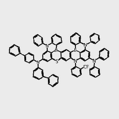 FC(F)(F)c1ccccc1N1c2cc3c(cc2B2c4ccccc4N(c4ccccc4)c4cc(N(c5ccccc5)c5ccccc5)cc1c42)B1c2ccccc2N(c2ccccc2)c2cc(N(c4ccc(-c5ccccc5)cc4)c4cccc(-c5ccccc5)c4)cc(c21)S3